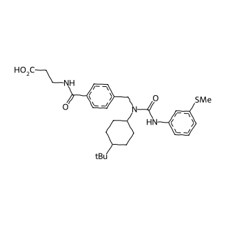 CSc1cccc(NC(=O)N(Cc2ccc(C(=O)NCCC(=O)O)cc2)C2CCC(C(C)(C)C)CC2)c1